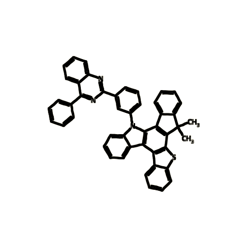 CC1(C)c2ccccc2-c2c1c1sc3ccccc3c1c1c3ccccc3n(-c3cccc(-c4nc(-c5ccccc5)c5ccccc5n4)c3)c21